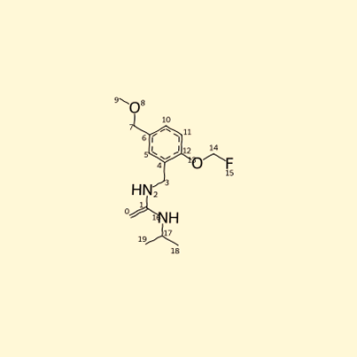 C=C(NCc1cc(COC)ccc1OCF)NC(C)C